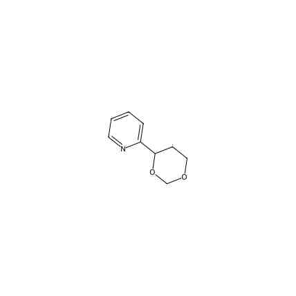 [CH]1COCOC1c1ccccn1